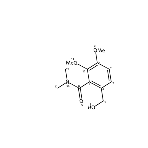 COc1ccc(CO)c(C(=O)N(C)C)c1OC